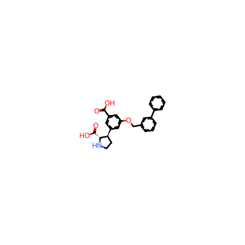 O=C(O)c1cc(OCc2cccc(-c3ccccc3)c2)cc([C@H]2CCN[C@@H]2C(=O)O)c1